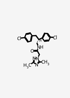 Cc1nc(C)n(CC(=O)NC[C@H](Cc2ccc(Cl)cc2)c2ccc(Cl)cc2)n1